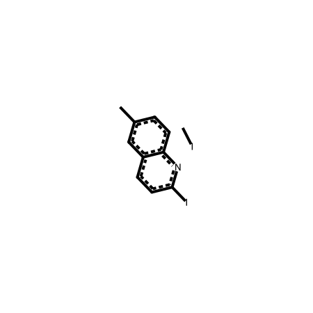 CI.Cc1ccc2nc(I)ccc2c1